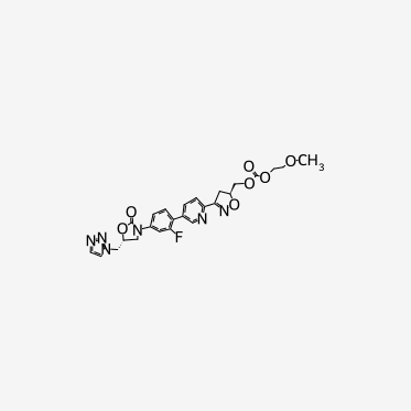 COCCOC(=O)OC[C@@H]1CC(c2ccc(-c3ccc(N4C[C@H](Cn5ccnn5)OC4=O)cc3F)cn2)=NO1